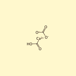 O=C([O-])[O-].O=[C](O)[Ca+2]